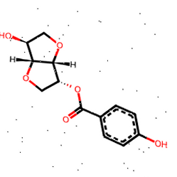 O=C(O[C@@H]1CO[C@H]2[C@@H]1OC[C@@H]2O)c1ccc(O)cc1